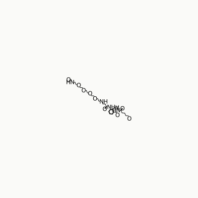 CN(Cc1c(C=O)cccc1NC(=O)CCNCCOCCOCCOCCOCCNC=O)NC(=O)CCCC=O